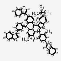 Cc1cc2c3c(c1)N(c1c(C)cc(-c4cc5ccccc5o4)cc1C)c1oc4ccc(C(C)(C)C)cc4c1B3c1ccc(-c3coc4ccccc34)cc1N2c1cccc(-c2coc3ccccc23)c1